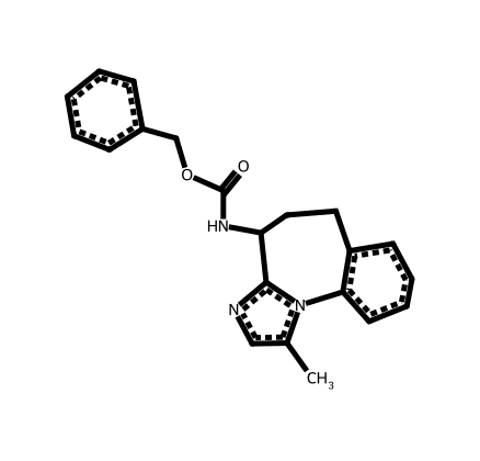 Cc1cnc2n1-c1ccccc1CCC2NC(=O)OCc1ccccc1